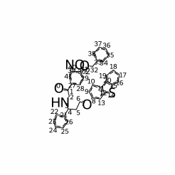 O=C(CNC(CCOc1ccc2c(c1)sc1ccccc12)c1ccccc1)c1ccc(OCc2ccccc2)c([N+](=O)[O-])c1